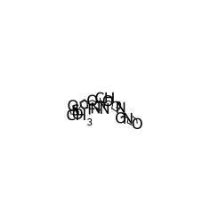 CCS(=O)(=O)c1ccc(Oc2ncnc(OC3CCN(CC(=O)N4CCOCC4)CC3)c2C)c(F)c1